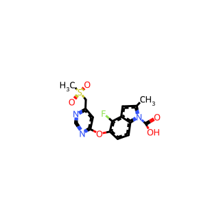 Cc1cc2c(F)c(Oc3cc(CS(C)(=O)=O)ncn3)ccc2n1C(=O)O